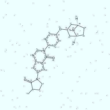 CC1CCN(c2cc3ncn(-c4ccc(OC5C[C@H]6CC[C@@H](C5)N6C)cc4)c(=O)c3s2)C1=O